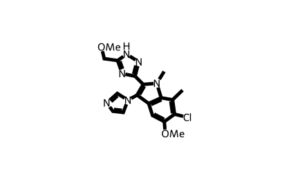 COCc1nc(-c2c(-n3ccnc3)c3cc(OC)c(Cl)c(C)c3n2C)n[nH]1